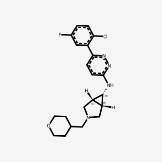 Fc1ccc(Cl)c(-c2ccc(N[C@@H]3[C@@H]4CN(CC5CCOCC5)C[C@@H]43)nn2)c1